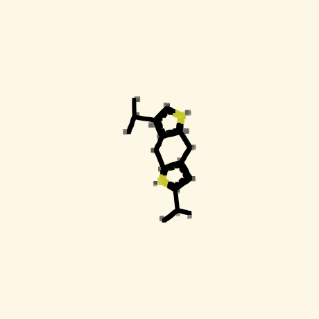 CC(C)c1cc2c(s1)Cc1c(C(C)C)csc1C2